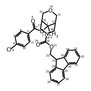 CC1(OC(=O)c2ccc(Cl)cc2)C2COCC1CN(C(=O)OCC1c3ccccc3-c3ccccc31)C2